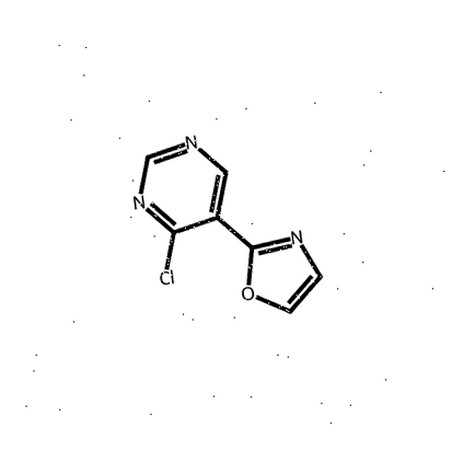 Clc1ncncc1-c1ncco1